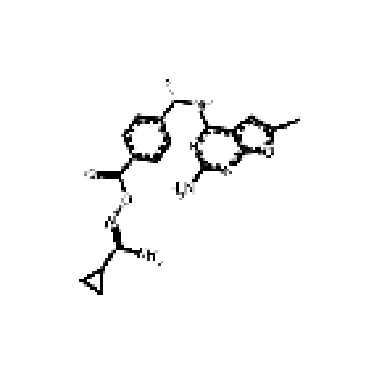 Cc1cc2c(N[C@@H](C)c3ccc(C(=O)O/N=C(\N)C4CC4)cc3)nc(N)nc2o1